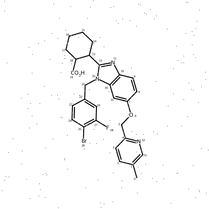 Cc1ccc(COc2ccc3nc(C4CCCCC4C(=O)O)n(Cc4ccc(Br)c(F)c4)c3c2)nc1